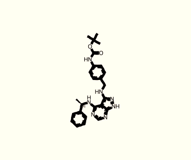 C[C@@H](Nc1ncnc2[nH]nc(NCc3ccc(NC(=O)OC(C)(C)C)cc3)c12)c1ccccc1